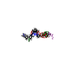 Cc1cc(F)c(-c2ccc(C[C@H](C)N(C)C)cc2)cc1C(=O)N[C@@H]1[C@H]2CC[C@@H](C2)[C@@H]1C(=O)Nc1cccc(S(=O)(=O)C(F)(F)P)c1